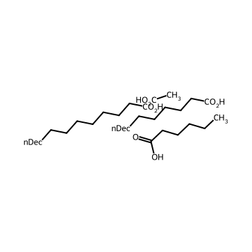 CC(=O)O.CCCCCC(=O)O.CCCCCCCCCCCCCCCC(=O)O.CCCCCCCCCCCCCCCCCC(=O)O